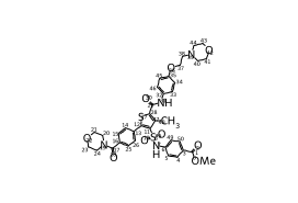 COC(=O)c1ccc(NS(=O)(=O)c2c(-c3ccc(C(=O)N4CCOCC4)cc3)sc(C(=O)Nc3ccc(OCCN4CCOCC4)cc3)c2C)cc1